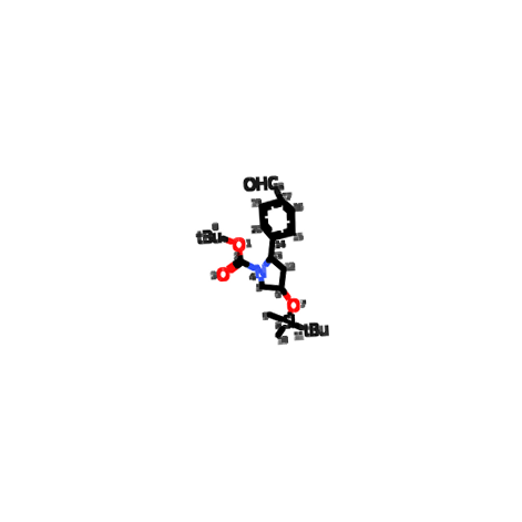 CC(C)(C)OC(=O)N1CC(O[Si](C)(C)C(C)(C)C)CC1c1ccc(C=O)cc1